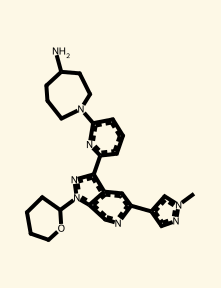 Cn1cc(-c2cc3c(-c4cccc(N5CCCC(N)CC5)n4)nn(C4CCCCO4)c3cn2)cn1